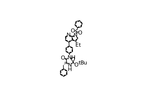 CCc1cn(S(=O)(=O)c2ccccc2)c2nccc(-c3ccc(NC(=O)[C@@H](Cc4ccccc4)NC(=O)OC(C)(C)C)cc3)c12